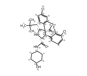 CC(C)(C)C[C@H]1N[C@@H](C(=O)N[C@H]2CC[C@H](O)CC2)[C@H](c2cccc(Cl)c2F)[C@@]12C(=O)Sc1cc(Cl)ccc12